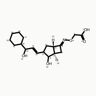 O=C(O)CON=C1C[C@H]2C(O)C(C=CC(O)C3CCCCC3)C[C@H]12